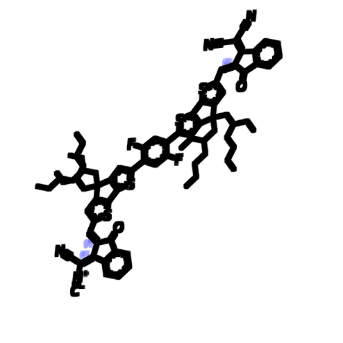 [C-]#[N+]/C(C#N)=C1/C(=C/c2cc3c(s2)-c2sc(-c4cc(F)c(-c5cc6c(s5)-c5sc(/C=C7\C(=O)c8ccccc8C7=C(C#N)C#N)cc5C6(CC(CC)CCCC)CC(CC)CCCC)cc4F)cc2C3(CC(CC)CCCC)CC(CC)CCCC)C(=O)c2ccccc21